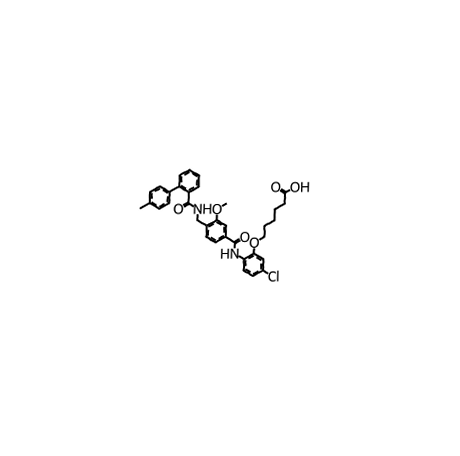 COc1cc(C(=O)Nc2ccc(Cl)cc2OCCCCCC(=O)O)ccc1CNC(=O)c1ccccc1-c1ccc(C)cc1